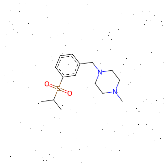 CC(C)S(=O)(=O)c1cccc(CN2CCN(C)CC2)c1